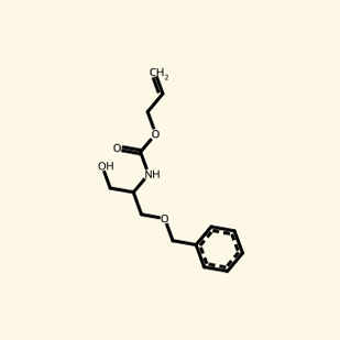 C=CCOC(=O)NC(CO)COCc1ccccc1